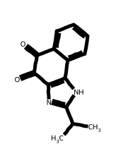 CC(C)c1nc2c([nH]1)-c1ccccc1C(=O)C2=O